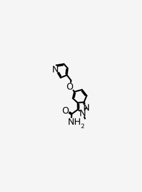 Cn1nc2ccc(OCc3cccnc3)cc2c1C(N)=O